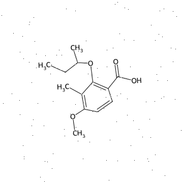 CCC(C)Oc1c(C(=O)O)ccc(OC)c1C